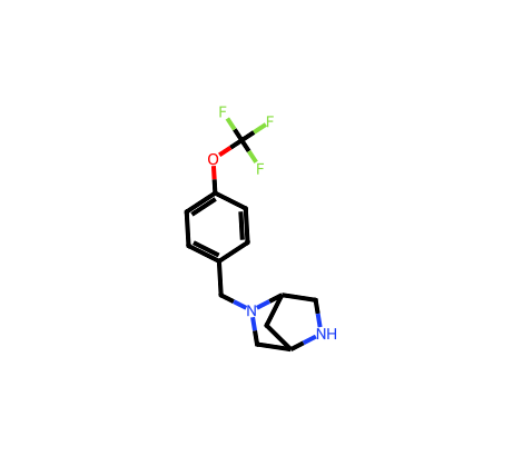 FC(F)(F)Oc1ccc(CN2CC3CC2CN3)cc1